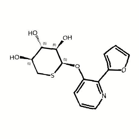 O[C@@H]1[C@@H](O)[C@@H](Oc2cccnc2-c2ccco2)SC[C@H]1O